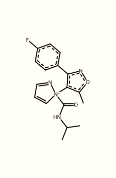 Cc1onc(-c2ccc(F)cc2)c1[N+]1(C(=O)NC(C)C)C=CC=N1